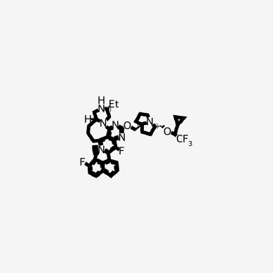 C#Cc1c(F)ccc2cccc(-c3nc4c5c(nc(OC[C@@]67CCCN6[C@H](COC(C6CC6)C(F)(F)F)CC7)nc5c3F)N3C[C@@H](CC)NC[C@H]3CCC4)c12